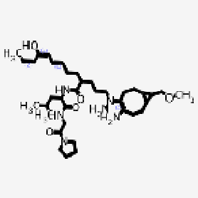 C\C=C/C(O)=C\C=C\CCC(CCCN(N)/C1=C(\N)CCC2C(CC1)C2COC)C(=O)NC(CC(C)C)C(=O)NCC(=O)N1CCCC1